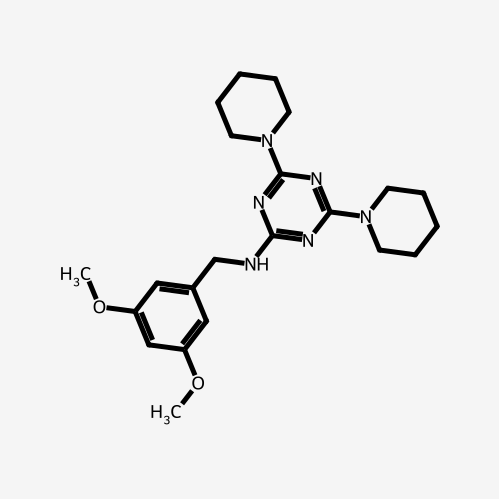 COc1cc(CNc2nc(N3CCCCC3)nc(N3CCCCC3)n2)cc(OC)c1